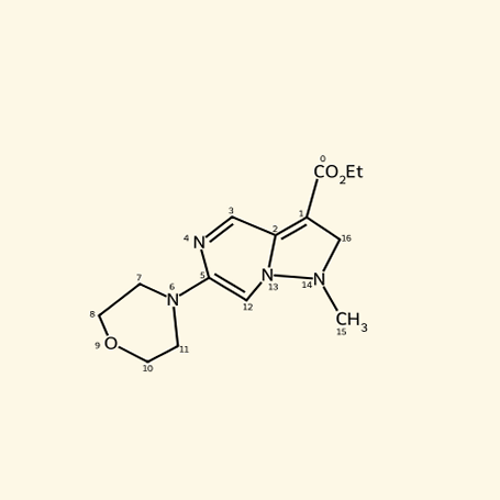 CCOC(=O)C1=C2C=NC(N3CCOCC3)=CN2N(C)C1